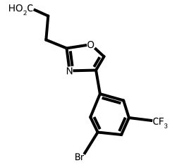 O=C(O)CCc1nc(-c2cc(Br)cc(C(F)(F)F)c2)co1